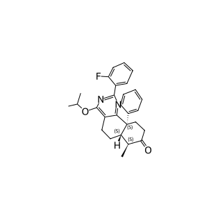 CC(C)Oc1nc(-c2ccccc2F)nc2c1CC[C@H]1[C@H](C)C(=O)CC[C@]21c1ccccc1